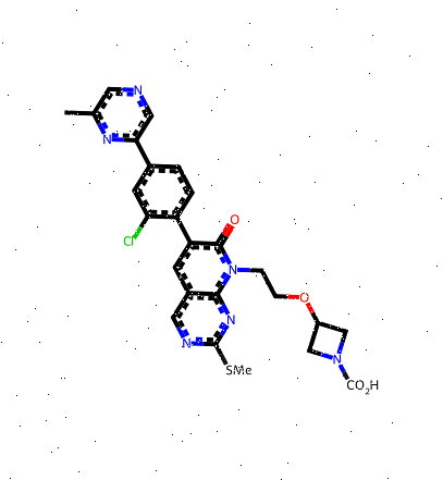 CSc1ncc2cc(-c3ccc(-c4cncc(C)n4)cc3Cl)c(=O)n(CCOC3CN(C(=O)O)C3)c2n1